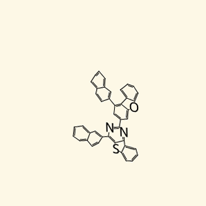 c1ccc2cc(-c3nc(-c4cc(-c5ccc6ccccc6c5)c5c(c4)oc4ccccc45)nc4c3sc3ccccc34)ccc2c1